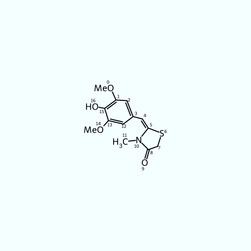 COc1cc(C=C2SCC(=O)N2C)cc(OC)c1O